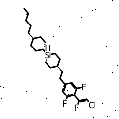 CCCCC[C@H]1CC[C@H]([Si@H]2CC[C@H](CCc3cc(F)c(C(F)=CCl)c(F)c3)CC2)CC1